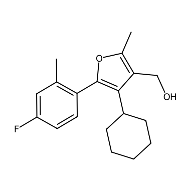 Cc1cc(F)ccc1-c1oc(C)c(CO)c1C1CCCCC1